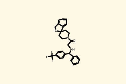 O=C(CNC(c1ccccc1)c1ccc(C(F)(F)F)cc1)N1CCC2(CC1)OCc1ccccc12